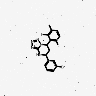 Cc1ccc(F)c(C2CC(c3cccc(Br)c3)Nc3nnnn32)c1F